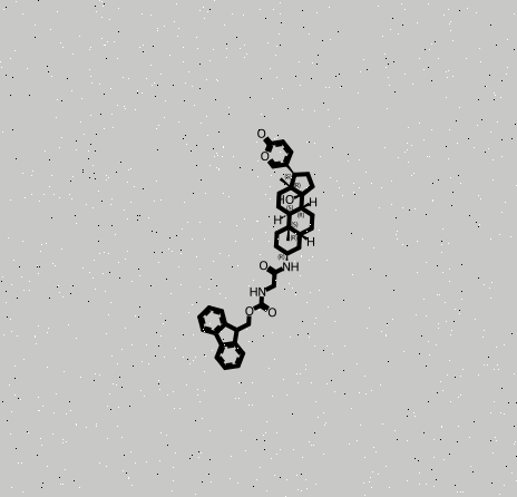 C[C@]12CC[C@@H](NC(=O)CNC(=O)OCC3c4ccccc4-c4ccccc43)C[C@H]1CC[C@@H]1[C@@H]2CC[C@]2(C)[C@@H](c3ccc(=O)oc3)CC[C@]12O